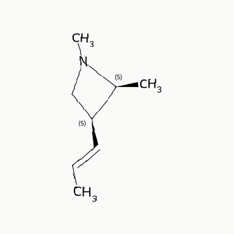 CC=C[C@H]1CN(C)[C@H]1C